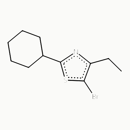 CCc1nc(C2CCCCC2)sc1Br